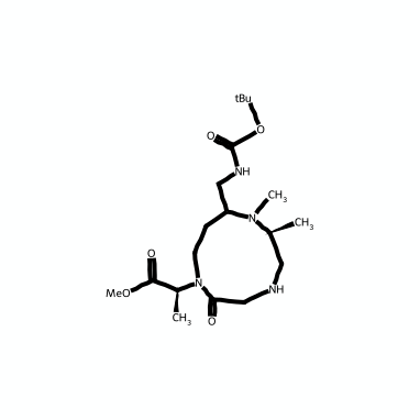 COC(=O)[C@H](C)N1CCC(CNC(=O)OC(C)(C)C)N(C)[C@@H](C)CNCC1=O